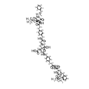 CC(C)(C)OC(=O)N[C@H](CSCc1ccccc1)C(=O)NNC(=O)CCc1ccc(CNC(=O)CN(CCN(CC(=O)O)CC(=O)NCc2ccc(CCC(=O)NNC(=O)[C@@H](CSCc3ccccc3)NC(=O)OC(C)(C)C)cc2)CC(=O)O)cc1